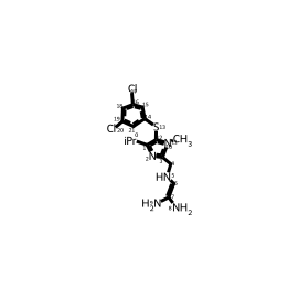 CC(C)c1nc(CNC=C(N)N)n(C)c1Sc1cc(Cl)cc(Cl)c1